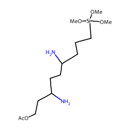 CO[Si](CCCC(N)CCC(N)CCOC(C)=O)(OC)OC